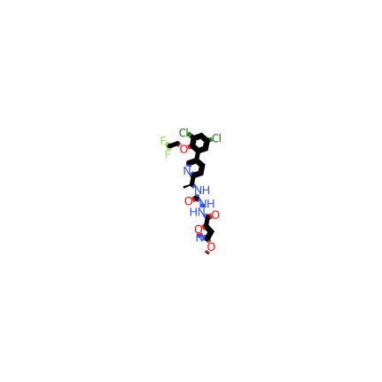 COc1cc(C(=O)NNC(=O)N[C@@H](C)c2ccc(-c3cc(Cl)cc(Cl)c3OCC(F)F)cn2)on1